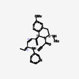 C#CC(=O)N1[C@@H](NCCCC)Cc2cc(OC)ccc2[C@@H]1C(=C)/C=C\C(=C/C)Nc1cccnc1